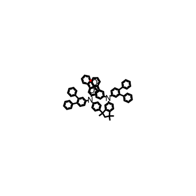 CC1(C)CC(C)(c2ccc(N(c3ccc(-c4ccccc4)c(-c4ccccc4)c3)c3ccc4oc5ccccc5c4c3)cc2)c2cc(N(c3ccc(-c4ccccc4)c(-c4ccccc4)c3)c3ccc4oc5ccccc5c4c3)ccc21